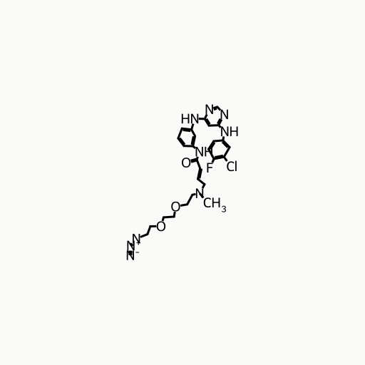 CN(C/C=C/C(=O)Nc1cccc(Nc2cc(Nc3ccc(F)c(Cl)c3)ncn2)c1)CCOCCOCCN=[N+]=[N-]